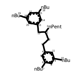 CCCCCC([CH]Cc1cc(CCCC)cc(CCCC)c1)Cc1cc(CCCC)cc(CCCC)c1